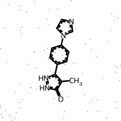 Cc1c(-c2ccc(-n3ccnc3)cc2)[nH][nH]c1=O